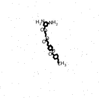 CCCC1CCC(C(=O)Oc2ccc(/C=C/C(=O)OCCCOC(=O)c3cc(N)cc(N)c3)cc2)CC1